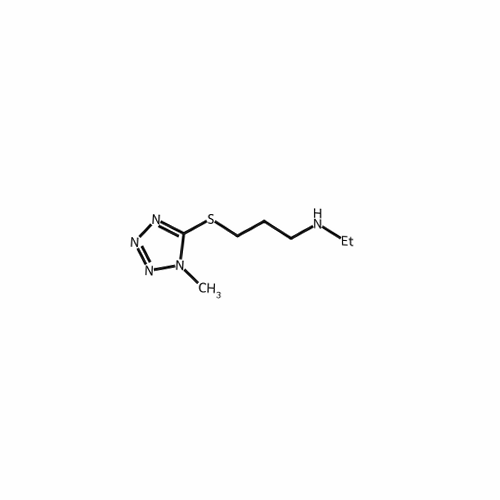 CCNCCCSc1nnnn1C